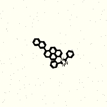 C1=C(c2ccc3ccccc3c2)c2ccc3c4c(ccc(c24)C1)C(n1c(-c2ccccc2)nnc1-c1ccccc1)=CC3